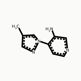 Cc1cnn(-c2ccncc2N)c1